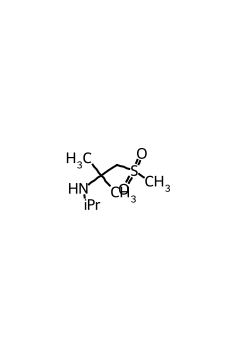 CC(C)NC(C)(C)CS(C)(=O)=O